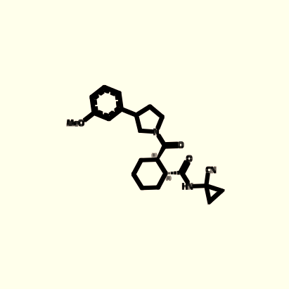 COc1cccc(C2CCN(C(=O)[C@@H]3CCCC[C@H]3C(=O)NC3(C#N)CC3)C2)c1